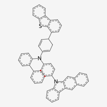 C1=CC(c2cccc3c2sc2ccccc23)CC=C1N(c1ccc(-n2c3ccccc3c3cc4ccccc4cc32)cc1)c1ccccc1-c1ccccc1